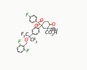 CC(C)(C)C1(C(=O)O)CC(c2ccc(C(OCc3c(F)cccc3F)(C(F)(F)F)C(F)(F)F)cc2)(S(=O)(=O)c2ccc(F)cc2)CCC1=O